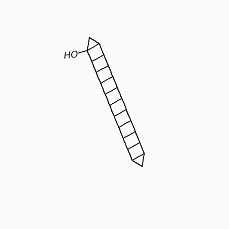 OC12CC1C1C3C4C5C6C7C8C9C%10C%11CC%11C%10C9C8C7C6C5C4C3C12